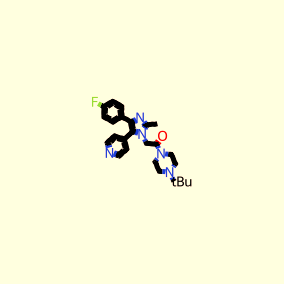 Cc1nc(-c2ccc(F)cc2)c(-c2ccncc2)n1CC(=O)N1CCN(C(C)(C)C)CC1